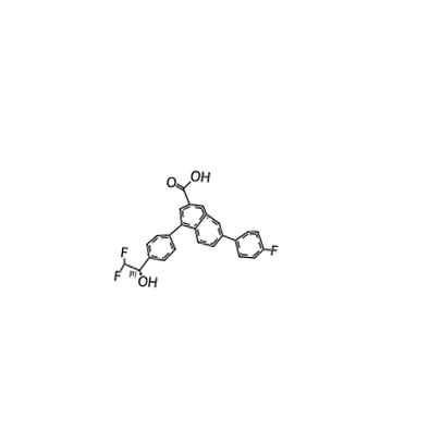 O=C(O)c1cc(-c2ccc([C@@H](O)C(F)F)cc2)c2ccc(-c3ccc(F)cc3)cc2c1